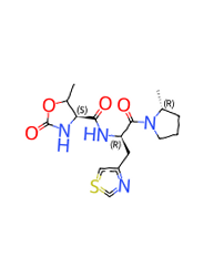 CC1OC(=O)N[C@@H]1C(=O)N[C@H](Cc1cscn1)C(=O)N1CCC[C@H]1C